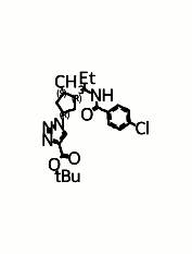 CCC(NC(=O)c1ccc(Cl)cc1)[C@@H]1C[C@H](n2cc(C(=O)OC(C)(C)C)nn2)C[C@@H]1C